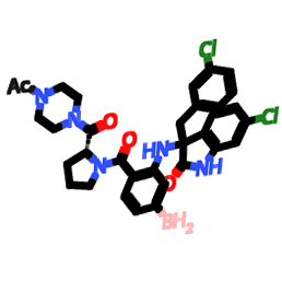 Bc1ccc(C(=O)N2CCC[C@@H]2C(=O)N2CCN(C(C)=O)CC2)c(NC2(Cc3cccc(Cl)c3)C(=O)Nc3cc(Cl)ccc32)c1